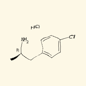 C[C@@H](N)Cc1ccc(Cl)cc1.Cl